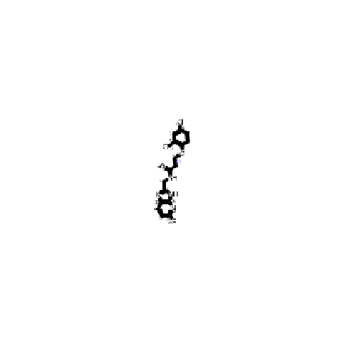 O=C(/C=C/Oc1ccc(Cl)cc1Cl)NCc1nc2ccc(F)nc2[nH]1